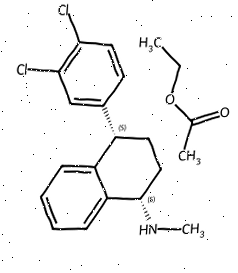 CCOC(C)=O.CN[C@H]1CC[C@@H](c2ccc(Cl)c(Cl)c2)c2ccccc21